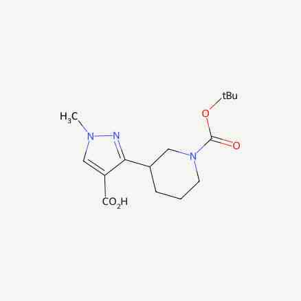 Cn1cc(C(=O)O)c(C2CCCN(C(=O)OC(C)(C)C)C2)n1